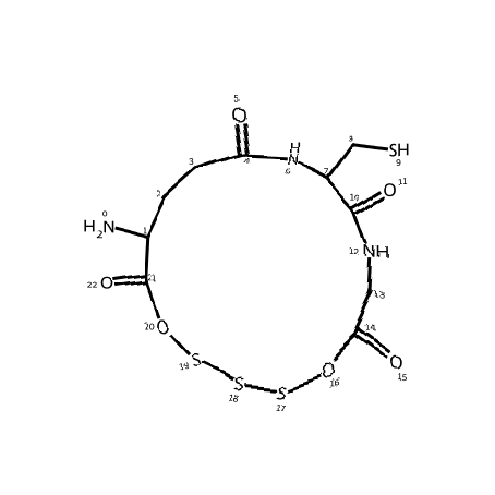 NC1CCC(=O)NC(CS)C(=O)NCC(=O)OSSSOC1=O